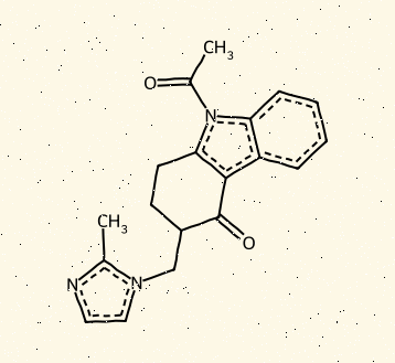 CC(=O)n1c2c(c3ccccc31)C(=O)C(Cn1ccnc1C)CC2